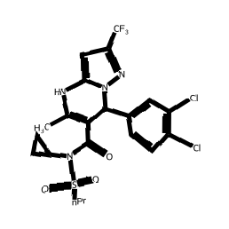 CCCS(=O)(=O)N(C(=O)C1=C(C)Nc2cc(C(F)(F)F)nn2C1c1ccc(Cl)c(Cl)c1)C1CC1